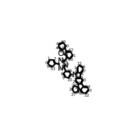 c1ccc(-c2nc(-c3cccc(-n4c5ccccc5c5cc6c(cc54)C4(CCCC4)c4ccccc4-6)c3)nc(-c3cccc4c3oc3ccccc34)n2)cc1